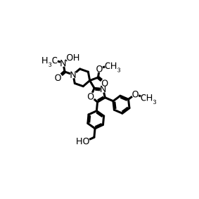 COC(=O)C1(c2nc(-c3cccc(OC)c3)c(-c3ccc(CO)cc3)o2)CCN(C(=O)N(C)O)CC1